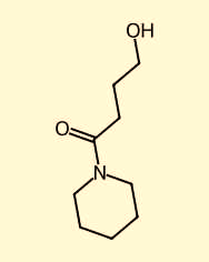 O=C(CCCO)N1CCCCC1